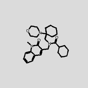 Cn1c(=O)c(CN(CC2(N3CCOCC3)CCCCC2)C(=O)C2CCCCC2)cc2ccccc21